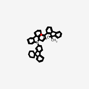 CC1(C)c2ccccc2-c2cccc(-c3ccc(N(c4ccc5c(c4)C4(CCCCC4)c4ccccc4-5)c4ccccc4-c4ccccc4)cc3)c21